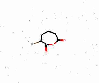 O=C1CCCC(Br)C(=O)O1